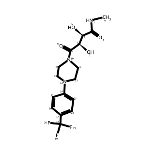 CNC(=O)[C@H](O)[C@@H](O)C(=O)N1CCN(c2ccc(C(F)(F)F)cc2)CC1